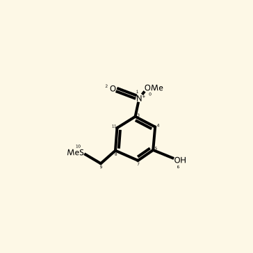 CO[N+](=O)c1cc(O)cc(CSC)c1